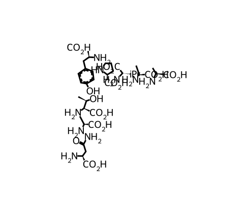 CC(C)[C@H](N)C(=O)O.C[C@@H](O)[C@H](N)C(=O)O.C[C@H](N)C(=O)O.C[C@H](N)C(=O)O.C[C@H](N)C(=O)O.NC(=O)C[C@H](N)C(=O)O.N[C@@H](Cc1ccc(O)cc1)C(=O)O.O=C(O)[C@@H]1CCCN1